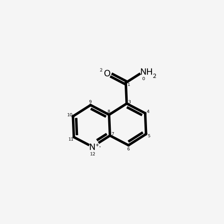 NC(=O)c1cccc2c1=CC=C[N+]=2